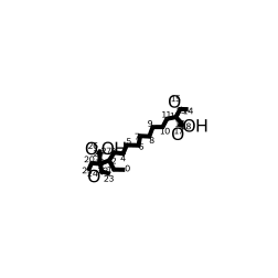 CCC(CCCCCCCCCC(C(C)=O)C(=O)O)C(CC)(C(C)=O)C(=O)O